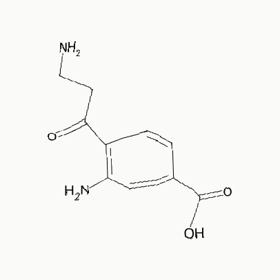 NCCC(=O)c1ccc(C(=O)O)cc1N